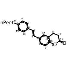 CCCCCc1ccc(C=Cc2ccc3c(c2)CCC(=O)O3)cc1